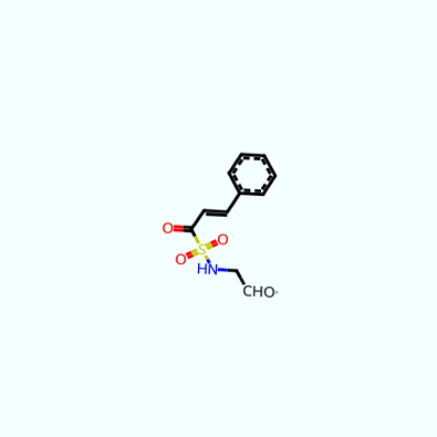 O=[C]CNS(=O)(=O)C(=O)C=Cc1ccccc1